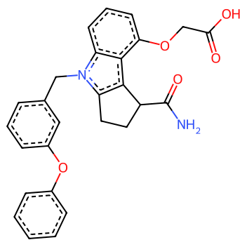 NC(=O)C1CCc2c1c1c(OCC(=O)O)cccc1n2Cc1cccc(Oc2ccccc2)c1